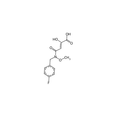 CON(Cc1ccc(F)cc1)C(=O)/C=C(\O)C(=O)O